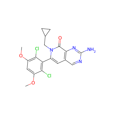 COc1cc(OC)c(Cl)c(-c2cc3cnc(N)nc3c(=O)n2CC2CC2)c1Cl